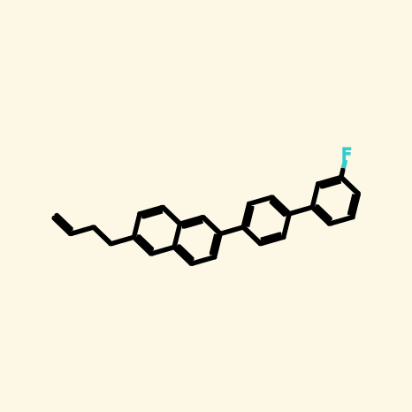 C=CCCc1ccc2cc(-c3ccc(-c4cccc(F)c4)cc3)ccc2c1